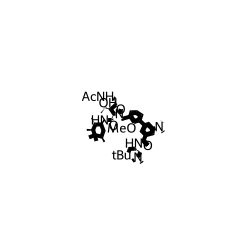 COc1c(CN2O[C@@H](CNC(C)=O)[C@@H]([C@H](C)O)[C@H]2C(=O)N[C@H]2C[C@@H](C)C(C)(C)[C@@H](C)[C@@H]2C)cccc1-c1cc(C(=O)N[C@H](CN(C)C)CC(C)(C)C)cc(N(C)C)c1